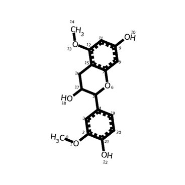 COc1cc(C2Oc3cc(O)cc(OC)c3CC2O)ccc1O